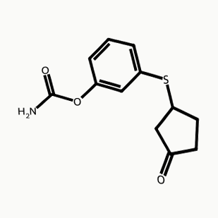 NC(=O)Oc1cccc(SC2CCC(=O)C2)c1